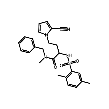 Cc1ccc(C)c(S(=O)(=O)NC(CCn2cccc2C#N)C(=O)N(C)Cc2ccccc2)c1